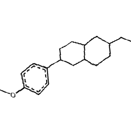 CCC1CCC2CC(c3ccc(OC)cc3)CCC2C1